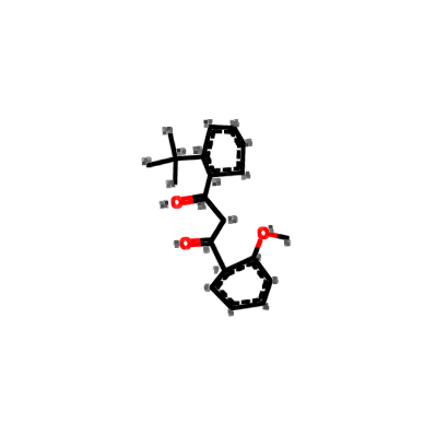 COc1ccccc1C(=O)CC(=O)c1ccccc1C(C)(C)C